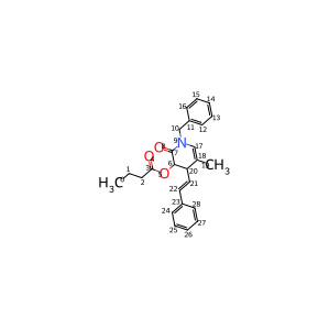 CCCC(=O)OC1C(=O)N(Cc2ccccc2)C=C(C)C1C=Cc1ccccc1